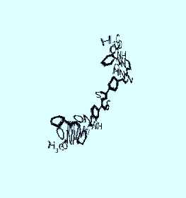 COC(=O)N[C@@H](C(=O)N1CC=CC1c1ncc(-c2ccc(-c3csc4c(-c5ccc6nc([C@@H]7CCCN7C(=O)[C@H](NC(=O)OC)c7ccccc7)[nH]c6c5)csc34)cc2)[nH]1)c1ccccc1